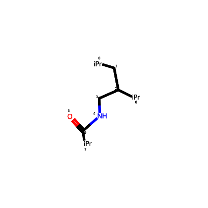 CC(C)CC(CNC(=O)C(C)C)C(C)C